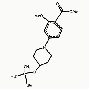 COC(=O)c1ccc(N2CCC(O[Si](C)(C)C(C)(C)C)CC2)cc1OC